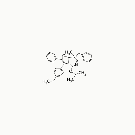 CCc1ccc(-c2c(-c3ccccc3)oc3c2C(OC(C)C)N=C[N+]3(C)Cc2ccccc2)cc1